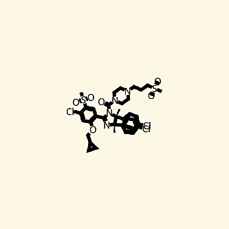 C[C@@]1(c2ccc(Cl)cc2)N=C(c2cc(S(C)(=O)=O)c(Cl)cc2OCC2CC2)N(C(=O)N2CCN(CCCS(C)(=O)=O)CC2)[C@]1(C)c1ccc(Cl)cc1